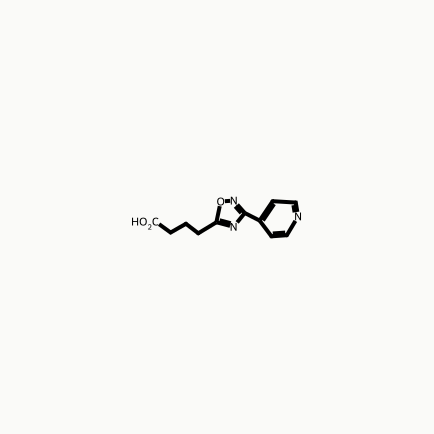 O=C(O)CCCc1nc(-c2ccncc2)no1